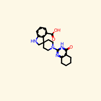 O=C(O)c1cccc2c1C1(CCN(c3nc4c(c(=O)[nH]3)CCCC4)CC1)CN2